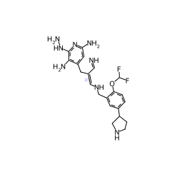 N=C/C(=C\NCc1cc(C2CCNC2)ccc1OC(F)F)Cc1cc(N)nc(NN)c1N